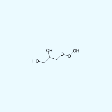 OCC(O)COOO